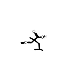 C=C=CC(C)(CC(C)C)C(=O)O